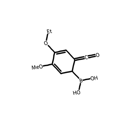 CCOC1=CC(=C=O)C(B(O)O)C=C1OC